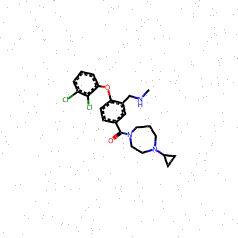 CNCc1cc(C(=O)N2CCCN(C3CC3)CC2)ccc1Oc1cccc(Cl)c1Cl